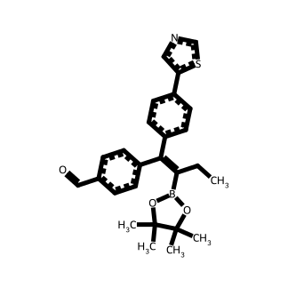 CC/C(B1OC(C)(C)C(C)(C)O1)=C(/c1ccc(C=O)cc1)c1ccc(-c2cncs2)cc1